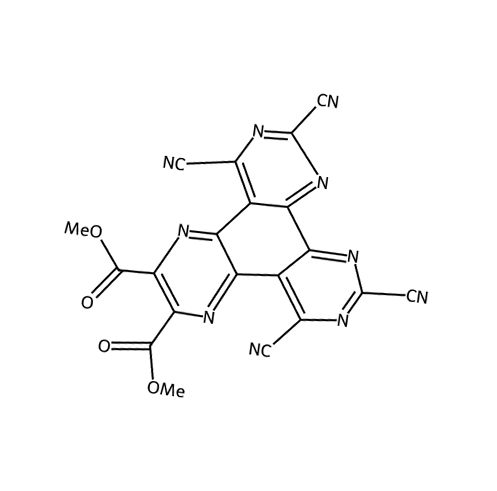 COC(=O)c1nc2c(nc1C(=O)OC)c1c(C#N)nc(C#N)nc1c1nc(C#N)nc(C#N)c12